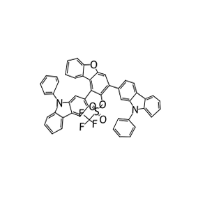 O=S(=O)(Oc1c(-c2ccc3c4ccccc4n(-c4ccccc4)c3c2)cc2oc3ccccc3c2c1-c1ccc2c3ccccc3n(-c3ccccc3)c2c1)C(F)(F)F